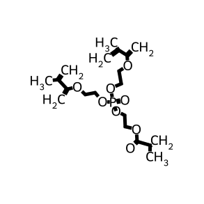 C=C(C)C(=C)OCCOP(=O)(OCCOC(=C)C(=C)C)OCCOC(=O)C(=C)C